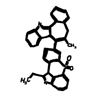 CCC1=Nc2cccc3c2C1c1ccc(C2=C(C)Cc4ccccc4C4=Nc5ccccc5C42)cc1S3(=O)=O